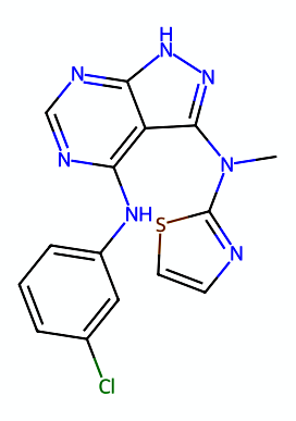 CN(c1nccs1)c1n[nH]c2ncnc(Nc3cccc(Cl)c3)c12